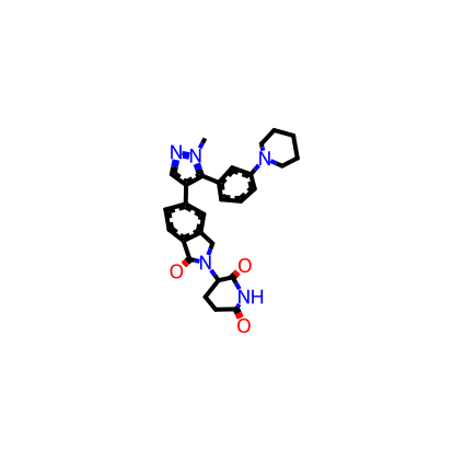 Cn1ncc(-c2ccc3c(c2)CN(C2CCC(=O)NC2=O)C3=O)c1-c1cccc(N2CCCCC2)c1